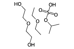 CC(C)OS(=O)(=O)O.CCOCC.OCCOCCO